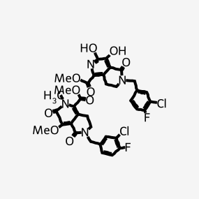 COC(=O)c1c2c(c(OC)c(=O)n1C)C(=O)N(Cc1ccc(F)c(Cl)c1)CC2.COC(=O)c1nc(O)c(O)c2c1CCN(Cc1ccc(F)c(Cl)c1)C2=O